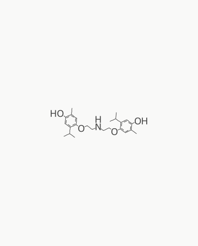 Cc1cc(OCCNCCOc2cc(C)c(O)cc2C(C)C)c(C(C)C)cc1O